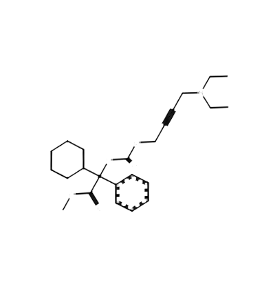 CCN(CC)CC#CCOC(=O)OC(C(=O)OC)(c1ccccc1)C1CCCCC1